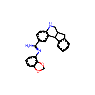 NC(=Nc1cccc2c1OCO2)c1ccc2c(c1)C1c3ccccc3CC1CN2